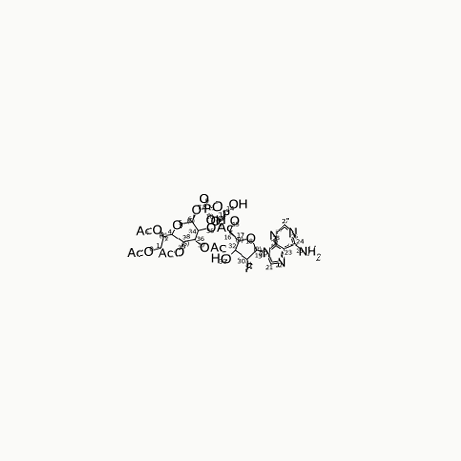 CC(=O)OC[C@@H](OC(C)=O)C1O[C@@H](OP(=O)(O)OP(=O)(O)OC[C@H]2O[C@@H](n3cnc4c(N)ncnc43)C(F)C2O)C(OC(C)=O)C(OC(C)=O)[C@H]1OC(C)=O